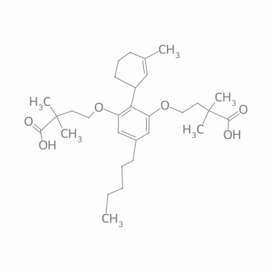 CCCCCc1cc(OCCC(C)(C)C(=O)O)c(C2C=C(C)CCC2)c(OCCC(C)(C)C(=O)O)c1